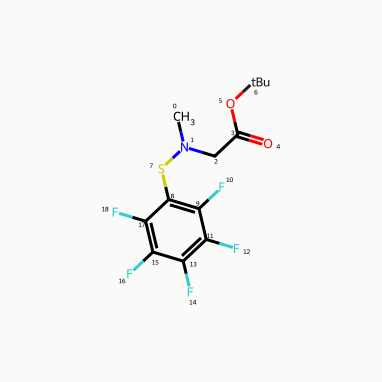 CN(CC(=O)OC(C)(C)C)Sc1c(F)c(F)c(F)c(F)c1F